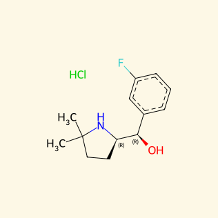 CC1(C)CC[C@H]([C@H](O)c2cccc(F)c2)N1.Cl